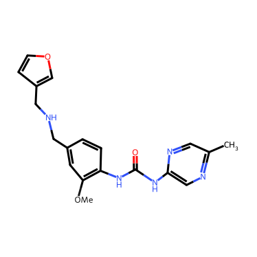 COc1cc(CNCc2ccoc2)ccc1NC(=O)Nc1cnc(C)cn1